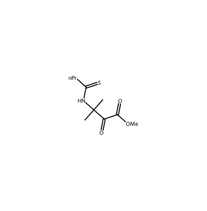 CCCC(=S)NC(C)(C)C(=O)C(=O)OC